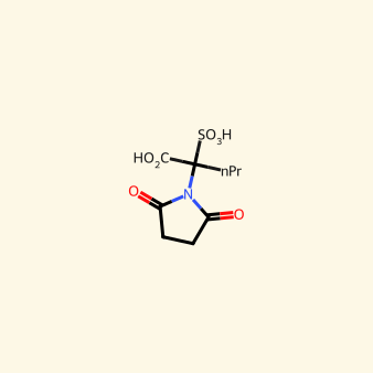 CCCC(C(=O)O)(N1C(=O)CCC1=O)S(=O)(=O)O